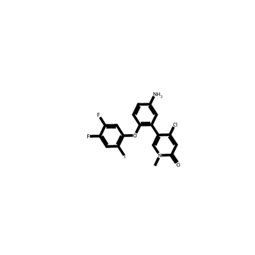 Cn1cc(-c2cc(N)ccc2Oc2cc(F)c(F)cc2I)c(Cl)cc1=O